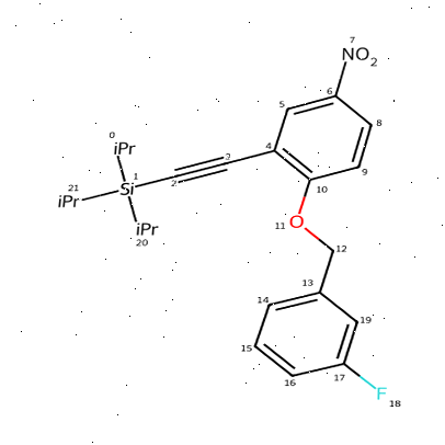 CC(C)[Si](C#Cc1cc([N+](=O)[O-])ccc1OCc1cccc(F)c1)(C(C)C)C(C)C